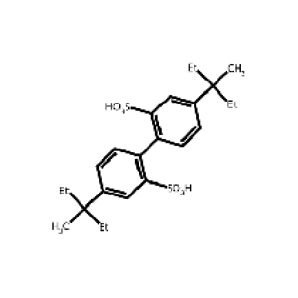 CCC(C)(CC)c1ccc(-c2ccc(C(C)(CC)CC)cc2S(=O)(=O)O)c(S(=O)(=O)O)c1